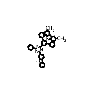 Cc1ccc2c(c1)c1cc(C)ccc1n2-c1c(-c2ccccc2)cc(-c2nc(-c3ccccc3)nc(-c3ccc4c(c3)oc3ccccc34)n2)cc1-c1ccccc1